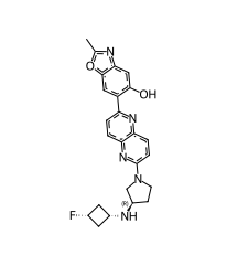 Cc1nc2cc(O)c(-c3ccc4nc(N5CC[C@@H](N[C@H]6C[C@@H](F)C6)C5)ccc4n3)cc2o1